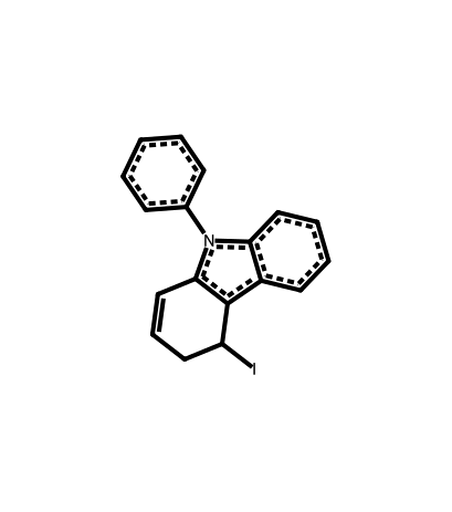 IC1CC=Cc2c1c1ccccc1n2-c1ccccc1